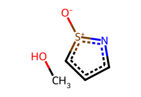 CO.[O-][s+]1cccn1